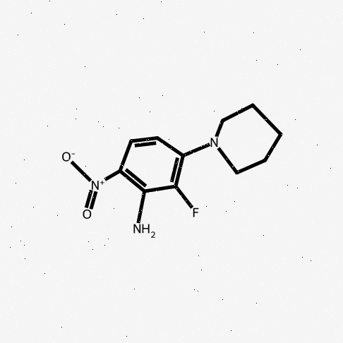 Nc1c([N+](=O)[O-])ccc(N2CCCCC2)c1F